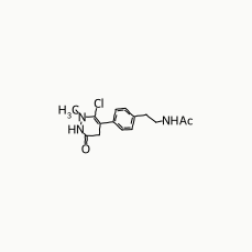 CC(=O)NCCc1ccc(C2=C(Cl)N(C)NC(=O)C2)cc1